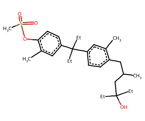 CCC(O)(CC)CC(C)Cc1ccc(C(CC)(CC)c2ccc(OS(C)(=O)=O)c(C)c2)cc1C